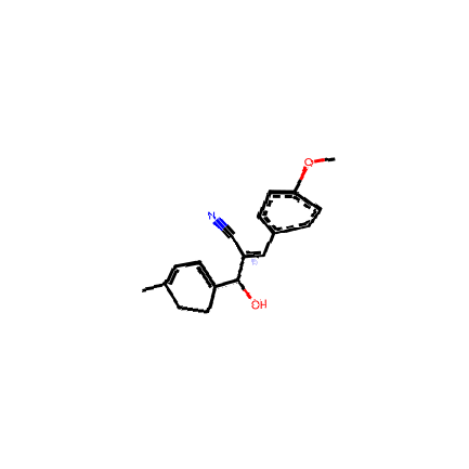 COc1ccc(/C=C(\C#N)C(O)C2=CC=C(C)CC2)cc1